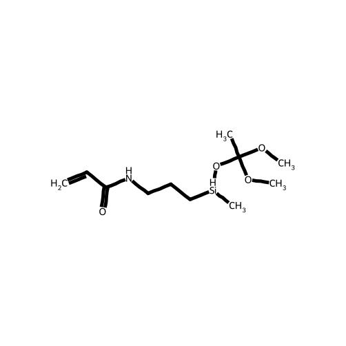 C=CC(=O)NCCC[SiH](C)OC(C)(OC)OC